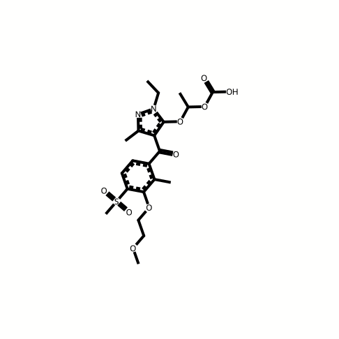 CCn1nc(C)c(C(=O)c2ccc(S(C)(=O)=O)c(OCCOC)c2C)c1OC(C)OC(=O)O